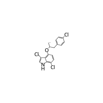 [CH2]C(Cc1ccc(Cl)cc1)Oc1ccc(Cl)c2[nH]cc(Cl)c12